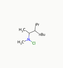 CCCCC(C(C)C)C(C)N(C)Cl